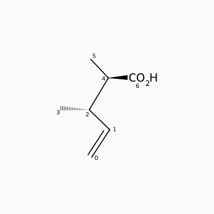 C=C[C@H](C)[C@@H](C)C(=O)O